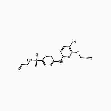 C#CCOc1nc(Nc2ccc(S(=O)(=O)NCC=C)cc2)ncc1C#N